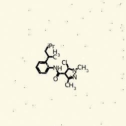 CC1=NN(C)C(Cl)C1C(=O)Nc1ccccc1C(C)CC(C)C